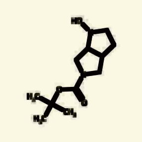 CC(C)(C)OC(=O)N1CC2CCN(O)C2C1